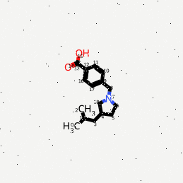 CC(C)CC1CCN(Cc2ccc(C(=O)O)cc2)C1